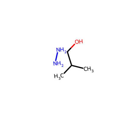 CC(C)CO.NN